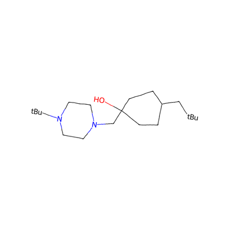 CC(C)(C)CC1CCC(O)(CN2CCN(C(C)(C)C)CC2)CC1